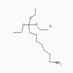 CCOC(CCCCCCC[SiH3])(OCC)OCC.[Ti]